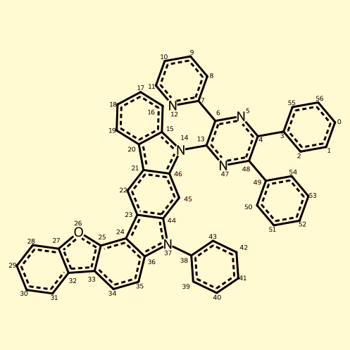 c1ccc(-c2nc(-c3ccccn3)c(-n3c4ccccc4c4cc5c6c7oc8ccccc8c7ccc6n(-c6ccccc6)c5cc43)nc2-c2ccccc2)cc1